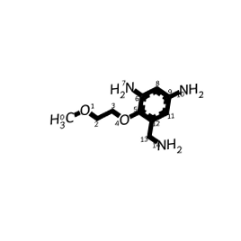 COCCOc1c(N)cc(N)cc1CN